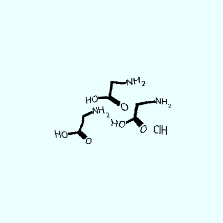 Cl.NCC(=O)O.NCC(=O)O.NCC(=O)O